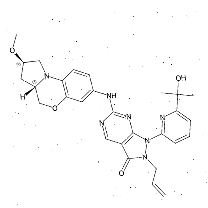 C=CCn1c(=O)c2cnc(Nc3ccc4c(c3)OC[C@@H]3C[C@@H](OC)CN43)nc2n1-c1cccc(C(C)(C)O)n1